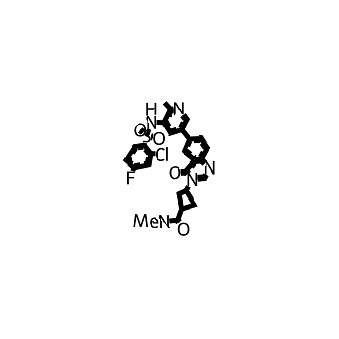 CNC(=O)C1CC(n2cnc3ccc(-c4cnc(C)c(NS(=O)(=O)c5ccc(F)cc5Cl)c4)cc3c2=O)C1